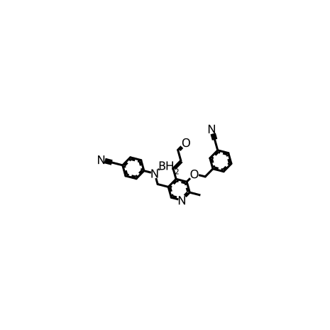 BN(Cc1cnc(C)c(OCc2cccc(C#N)c2)c1/C=C/C=O)c1ccc(C#N)cc1